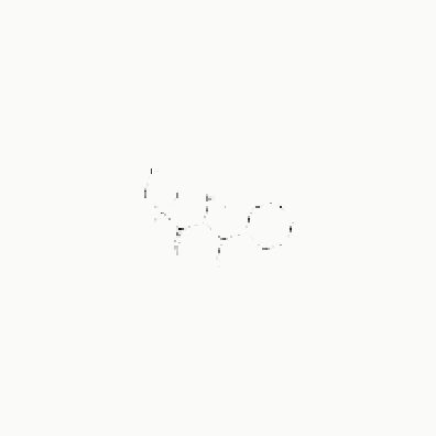 CC(C)CC(F)(F)C(=O)C(N)C(S)C1CCCCC1